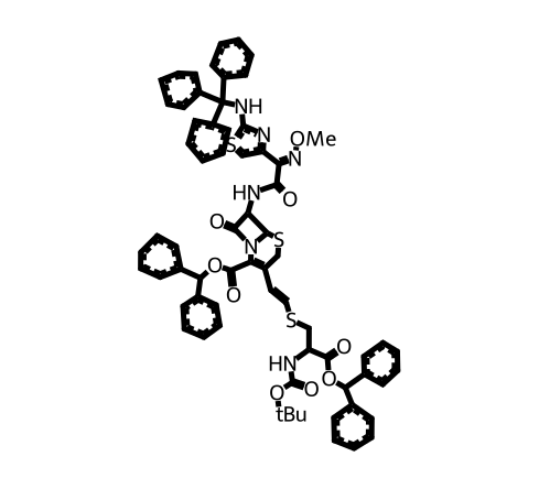 CO/N=C(/C(=O)NC1C(=O)N2C(C(=O)OC(c3ccccc3)c3ccccc3)=C(/C=C/SCC(NC(=O)OC(C)(C)C)C(=O)OC(c3ccccc3)c3ccccc3)CSC12)c1csc(NC(c2ccccc2)(c2ccccc2)c2ccccc2)n1